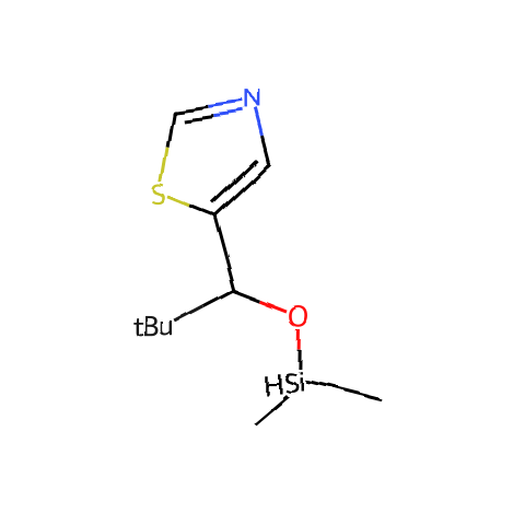 C[SiH](C)OC(c1cncs1)C(C)(C)C